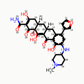 CN1CCC(Nc2cc(-c3ccoc3)c3c(c2O)C(=O)C2=C(O)[C@]4(O)C(=O)C(C(N)=O)=C(O)C[C@@H]4C[C@@H]2C3)CC1